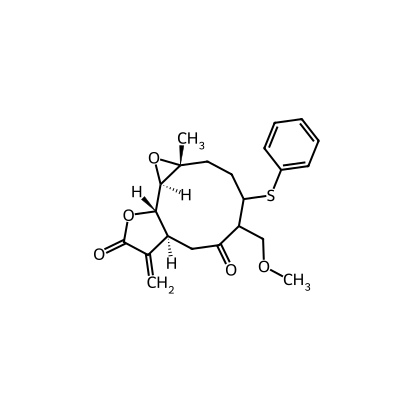 C=C1C(=O)O[C@@H]2[C@H]3O[C@]3(C)CCC(Sc3ccccc3)C(COC)C(=O)C[C@@H]12